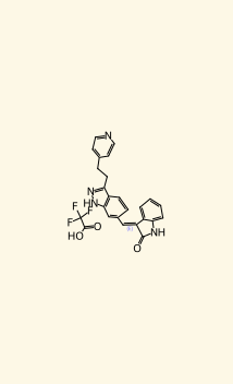 O=C(O)C(F)(F)F.O=C1Nc2ccccc2/C1=C\c1ccc2c(CCc3ccncc3)n[nH]c2c1